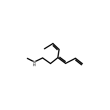 C=C/C=C(\C=C/C)CCNC